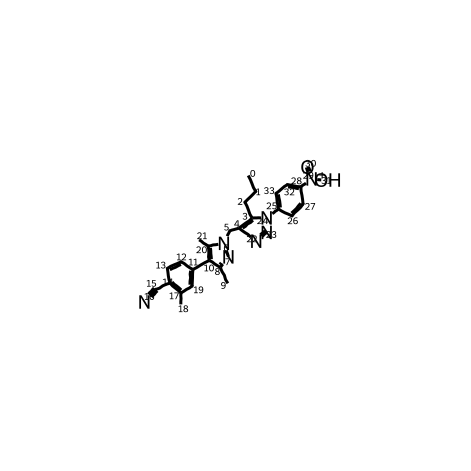 CCCc1c(Cn2nc(C)c(-c3ccc(C#N)c(C)c3)c2C)nnn1-c1ccc([N+](=O)O)cc1